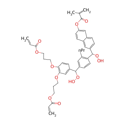 C=CC(=O)OCCCOc1ccc(C(OO)c2ccc(C(OO)c3ccc4cc(OC(=O)C(=C)C)ccc4c3)c(CCC)c2)cc1OCCCOC(=O)C=C